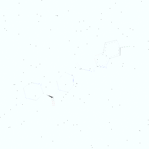 CC(C)N1CCN[C@@H](C(=O)N2CCN(C(=O)Nc3nc4cc(Cl)ccc4o3)CC2)C1